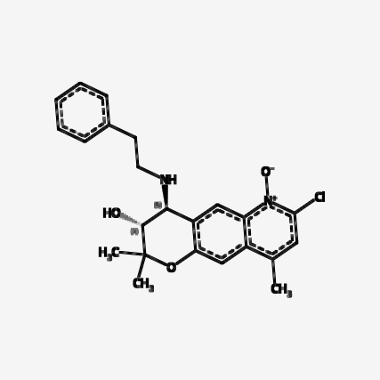 Cc1cc(Cl)[n+]([O-])c2cc3c(cc12)OC(C)(C)[C@H](O)[C@H]3NCCc1ccccc1